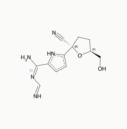 N#C[C@]1(c2ccc(/C(N)=N\C=N)[nH]2)CC[C@@H](CO)O1